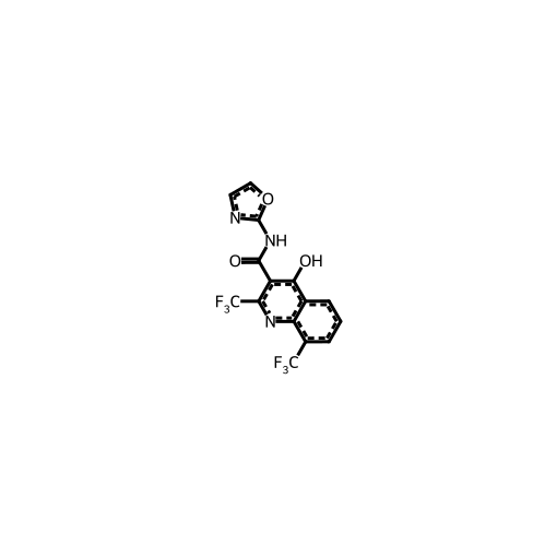 O=C(Nc1ncco1)c1c(C(F)(F)F)nc2c(C(F)(F)F)cccc2c1O